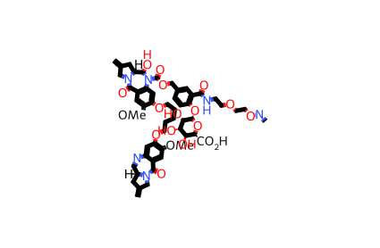 C=NOCCOCCNC(=O)c1cc(COC(=O)N2c3cc(OCCCCCOc4cc5c(cc4OC)C(=O)N4CC(=C)C[C@H]4C=N5)c(OC)cc3C(=O)N3CC(=C)C[C@H]3C2O)ccc1O[C@@H]1O[C@H](C(=O)O)[C@@H](O)[C@H](O)[C@H]1O